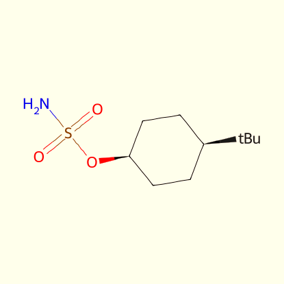 CC(C)(C)[C@H]1CC[C@@H](OS(N)(=O)=O)CC1